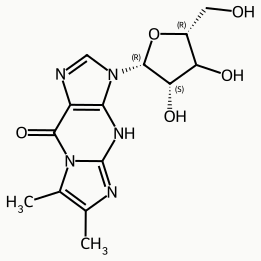 Cc1nc2[nH]c3c(ncn3[C@@H]3O[C@H](CO)C(O)[C@@H]3O)c(=O)n2c1C